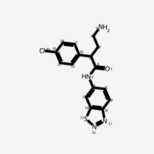 NCCC(C(=O)Nc1ccc2nnsc2c1)c1ccc(Cl)cc1